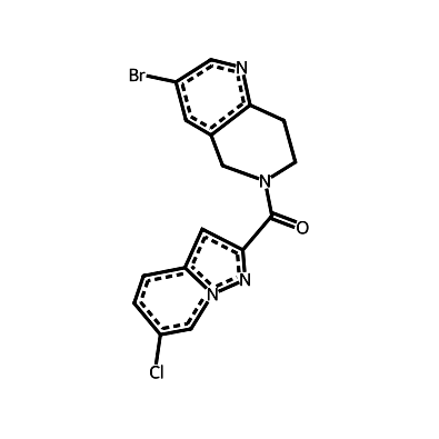 O=C(c1cc2ccc(Cl)cn2n1)N1CCc2ncc(Br)cc2C1